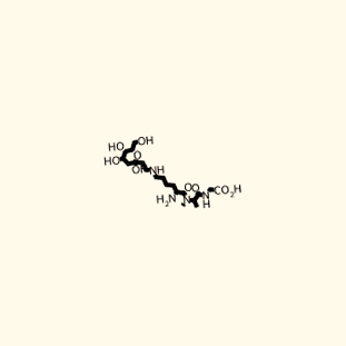 CC(C(=O)NCC(=O)O)N(C)C(=O)C(N)CCCCNCCC1(O)CC(O)C(O)C(CO)O1